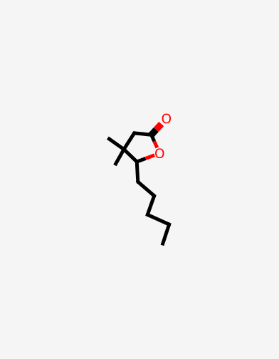 CCCCCC1OC(=O)CC1(C)C